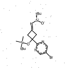 CC(C)(C)[S@@+]([O-])N=C1CC(O[Si](C)(C)C(C)(C)C)(c2ncc(Br)cn2)C1